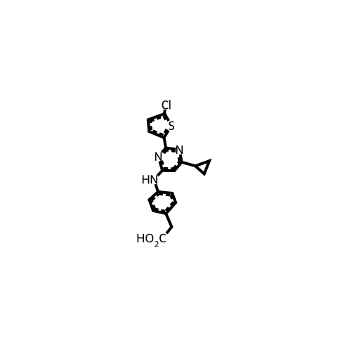 O=C(O)Cc1ccc(Nc2cc(C3CC3)nc(-c3ccc(Cl)s3)n2)cc1